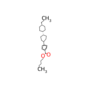 CCCCCOC(=O)c1ccc(C2CCC([C@H]3CC[C@H](CCC)CC3)CC2)cc1